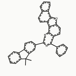 CC1(C)c2ccccc2-c2ccc(-c3nc(-c4ccccc4)c4ccc5oc6c7ccccc7ccc6c5c4n3)cc21